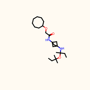 CCC(C)(C)OC(C)(CC)NC12CC(NC(=O)COC3CCCCCCC3)(C1)C2